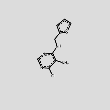 Nc1c(Cl)ncnc1NCc1cccs1